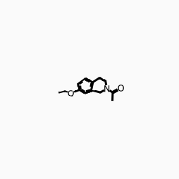 CCOc1ccc2c(c1)CN(C(C)=O)CC2